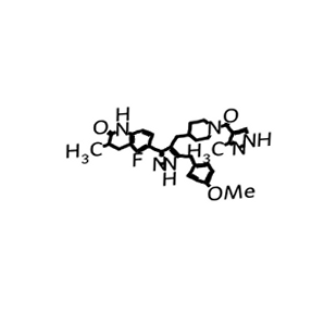 COc1ccc(Cc2[nH]nc(-c3ccc4c(c3F)CC(C)C(=O)N4)c2CC2CCN(C(=O)c3c[nH]nc3C)CC2)cc1